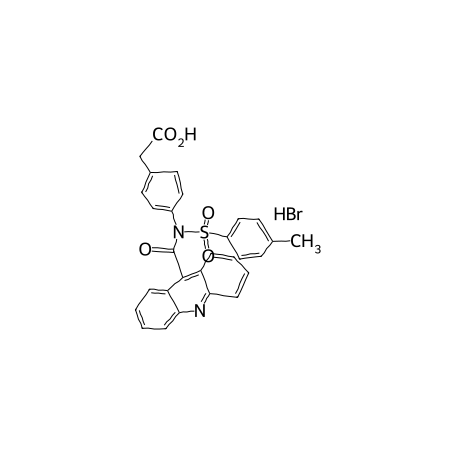 Br.Cc1ccc(S(=O)(=O)N(C(=O)c2c3ccccc3nc3ccccc23)c2ccc(CC(=O)O)cc2)cc1